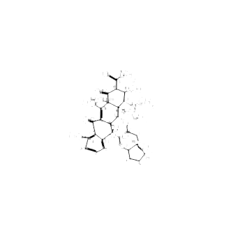 CCC(=O)O[C@H]1[C@H]2C(=C(O)[C@]3(O)C(=O)C(C(N)=O)C(O)[C@@H](N(C)C)[C@H]13)C(=O)c1c(O)cccc1[C@@H]2CSC1CCCC1